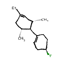 CCC1=C[C@H](C)C(C2=CC[C@H](F)CC2)[C@H](C)C1